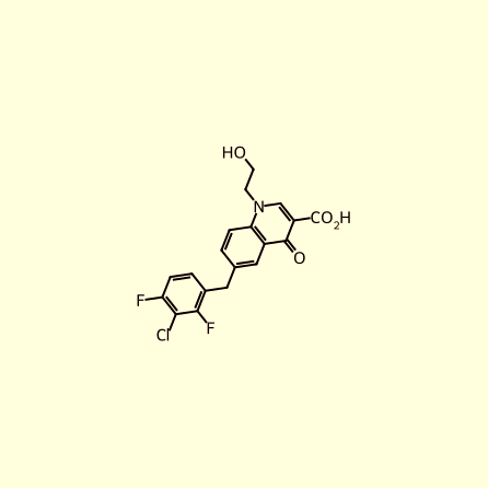 O=C(O)c1cn(CCO)c2ccc(Cc3ccc(F)c(Cl)c3F)cc2c1=O